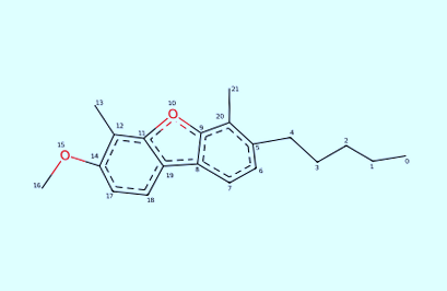 CCCCCc1ccc2c(oc3c(C)c(OC)ccc32)c1C